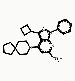 O=C(O)c1cc(N2CCC3(CCCC3)CC2)c2c(C3CCC3)nn(-c3ccccc3)c2n1